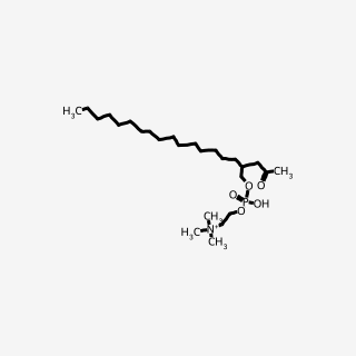 CCCCCCCCCCCCCCCCC(COP(=O)(O)OCC[N+](C)(C)C)CC(C)=O